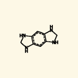 c1c2c(cc3c1NCN3)NCN2